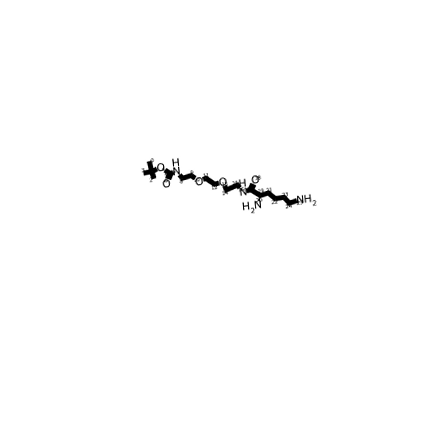 CC(C)(C)OC(=O)NCCOCCOCCNC(=O)[C@@H](N)CCCCN